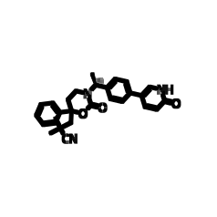 C[C@@H](c1ccc(-c2ccc(=O)[nH]c2)cc1)N1CCC(CC(C)(C)C#N)(c2ccccc2)OC1=O